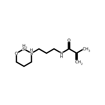 C=C(C)C(=O)NCCC[SiH]1CCCO[SiH2]1